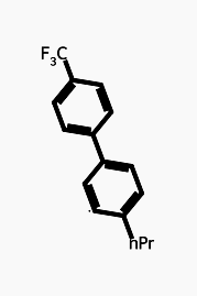 CCCc1[c]cc(-c2ccc(C(F)(F)F)cc2)cc1